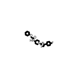 O=C(COc1ccccc1)NC1CCN(c2nc(-c3ccc(F)cc3)cs2)CC1